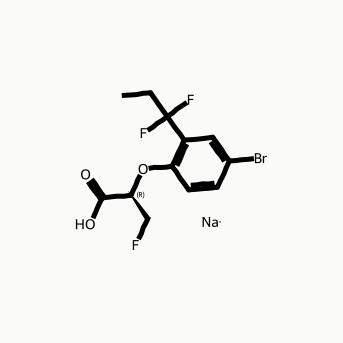 CCC(F)(F)c1cc(Br)ccc1O[C@@H](CF)C(=O)O.[Na]